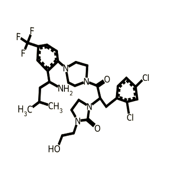 CC(C)CC(N)c1cc(C(F)(F)F)ccc1N1CCN(C(=O)C(Cc2ccc(Cl)cc2Cl)N2CCN(CCO)C2=O)CC1